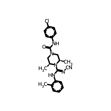 Cc1ccccc1N/C(=N/C#N)N1[C@H](C)CN(C(=O)Nc2ccc(Cl)cc2)C[C@@H]1C